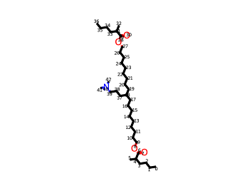 CCCCC(C)C(=O)OCCCCCCCCCC(CCCCCCCCCOC(=O)C(C)CCCC)CCCN(C)C